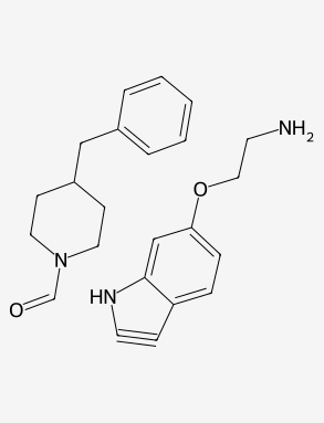 NCCOc1ccc2c#c[nH]c2c1.O=CN1CCC(Cc2ccccc2)CC1